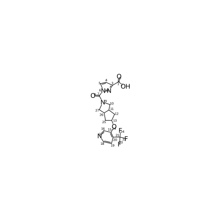 O=C(O)c1ccn(C(=O)N2CC3CC(Oc4cnccc4C(F)(F)F)CC3C2)n1